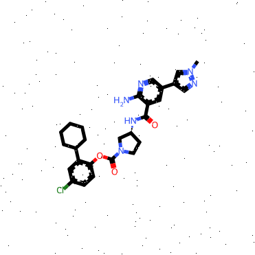 Cn1cc(-c2cnc(N)c(C(=O)N[C@@H]3CCN(C(=O)Oc4ccc(Cl)cc4C4CCCCC4)C3)c2)cn1